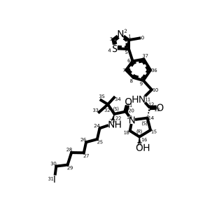 Cc1ncsc1-c1ccc(CNC(=O)[C@@H]2C[C@@H](O)CN2C(=O)[C@@H](NCCCCCCCI)C(C)(C)C)cc1